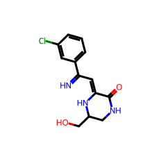 N=C(/C=C1\NC(CO)CNC1=O)c1cccc(Cl)c1